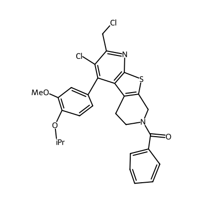 COc1cc(-c2c(Cl)c(CCl)nc3sc4c(c23)CCN(C(=O)c2ccccc2)C4)ccc1OC(C)C